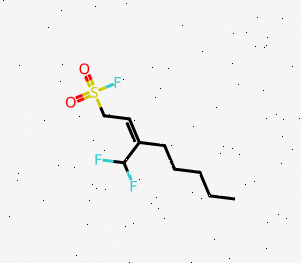 CCCCCC(=CCS(=O)(=O)F)C(F)F